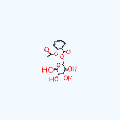 CC(=O)Oc1ccccc1C(=O)OCC1O[C@H](O)C(O)C(O)[C@H]1O